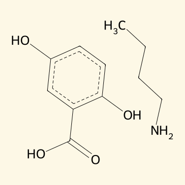 CCCCN.O=C(O)c1cc(O)ccc1O